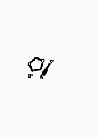 C1COCO1.N#C[S-].[Li+]